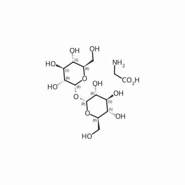 NCC(=O)O.OC[C@H]1O[C@H](O[C@H]2O[C@H](CO)[C@@H](O)[C@H](O)[C@H]2O)[C@H](O)[C@@H](O)[C@@H]1O